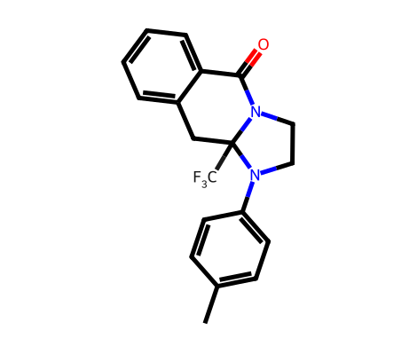 Cc1ccc(N2CCN3C(=O)c4ccccc4CC32C(F)(F)F)cc1